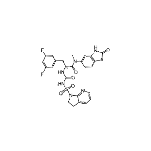 CN(C(=O)[C@H](Cc1cc(F)cc(F)c1)NC(=O)NS(=O)(=O)N1CCc2cccnc21)c1ccc2sc(=O)[nH]c2c1